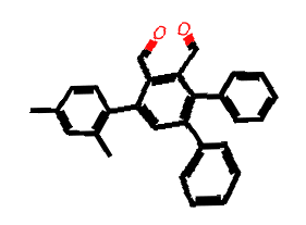 Cc1ccc(-c2cc(-c3ccccc3)c(-c3ccccc3)c(C=O)c2C=O)c(C)c1